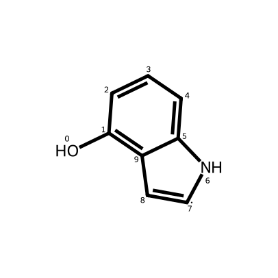 Oc1cccc2[nH][c]cc12